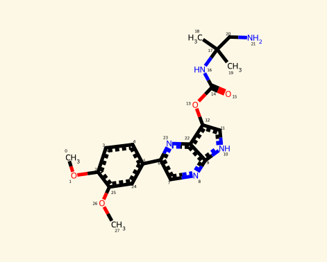 COc1ccc(-c2cnc3[nH]cc(OC(=O)NC(C)(C)CN)c3n2)cc1OC